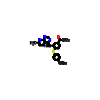 COC(=O)c1ccc(Sc2ccc(OC)cc2)c([AsH]c2ncnc3nc(C)ccc23)c1